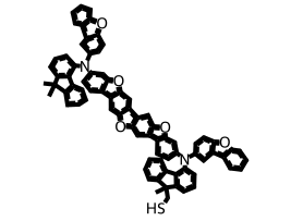 CC1(C)c2ccccc2-c2c(N(c3ccc4c(c3)oc3cc5c(cc34)oc3cc4c(cc35)oc3cc(N(c5ccc6oc7ccccc7c6c5)c5cccc6c5-c5ccccc5C6(C)CS)ccc34)c3ccc4oc5ccccc5c4c3)cccc21